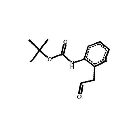 CC(C)(C)OC(=O)Nc1ccccc1CC=O